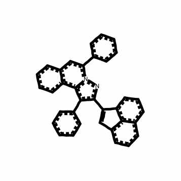 C1=C(c2nn3c(-c4ccccc4)cc4ccccc4c3c2-c2ccccc2)c2cccc3cccc1c23